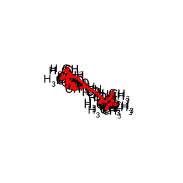 CC(C)(C)OC(=O)CC[C@@H](NC(=O)COCCOCCNC(=O)[C@@H](CCCCNC(=O)CNC(=O)CNC(=O)CNC(=O)CC[C@H](C(=O)OC(C)(C)C)N1CCN(CC(=O)OC(C)(C)C)CCN(CC(=O)OC(C)(C)C)CCN(CC(=O)OC(C)(C)C)CC1)NC(=O)CCCc1ccc(I)cc1)C(=O)N[C@H](CCC(=O)OC(C)(C)C)C(=O)N[C@H](CCC(=O)OC(C)(C)C)C(=O)NCCC(=O)O